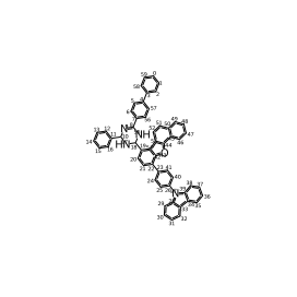 c1ccc(-c2ccc(C3=NC(c4ccccc4)NC(c4ccc(-c5ccc(-n6c7ccccc7c7ccccc76)cc5)c5oc6c7ccccc7ccc6c45)N3)cc2)cc1